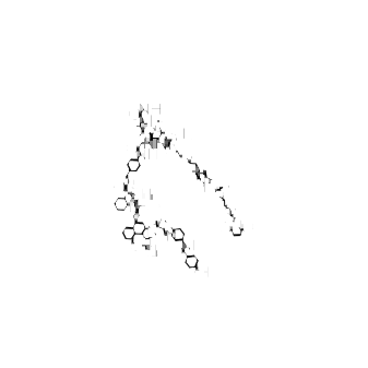 Cc1cccc2c(OC(=O)N(C)[C@H]3CCCC[C@H]3N(C)C(=O)OCc3ccc(NC(=O)[C@H](CCCNC(N)=O)NC(=O)[C@@H](NC(=O)OCCOCCn4cc(CNC(=O)OCCOCCN5C(=O)C=CC5=O)nn4)C(C)C)cc3)cc3c(c12)[C@H](CCl)CN3C(=O)c1cn2cc(NC(=O)c3ccc(O)cc3)ccc2n1